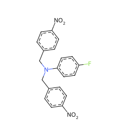 O=[N+]([O-])c1ccc(CN(Cc2ccc([N+](=O)[O-])cc2)c2ccc(F)cc2)cc1